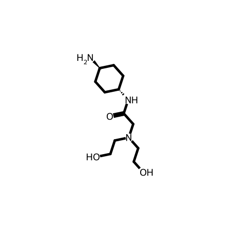 N[C@H]1CC[C@H](NC(=O)CN(CCO)CCO)CC1